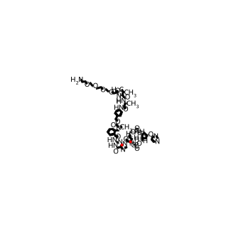 CC(C)[C@H](NC(=O)COCCOCCOCCOCCN)C(=O)N[C@@H](C)C(=O)Nc1ccc(COC(=O)N(C)Cc2ccccc2C(=O)Nc2nc3c(ncn3[C@@H]3O[C@@H]4CO[PH](=O)O[C@H]5C[C@H](Oc6ccncn6)C[C@@H]5CO[PH](=O)O[C@@H]3C4)c(=O)[nH]2)cc1